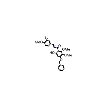 CCc1cc(/C=C/C(=O)c2c(O)cc(OCc3ccccc3)c(OC)c2OC)ccc1OC